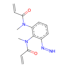 C=CC(=O)N(C)c1cccc(N=N)c1N(C)C(=O)C=C